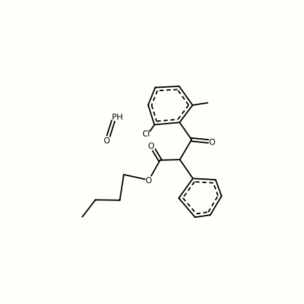 CCCCOC(=O)C(C(=O)c1c(C)cccc1Cl)c1ccccc1.O=P